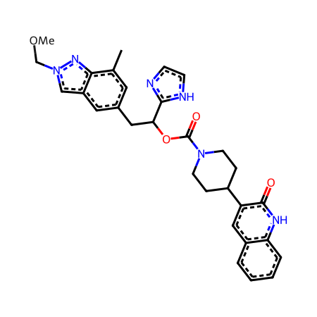 COCn1cc2cc(CC(OC(=O)N3CCC(c4cc5ccccc5[nH]c4=O)CC3)c3ncc[nH]3)cc(C)c2n1